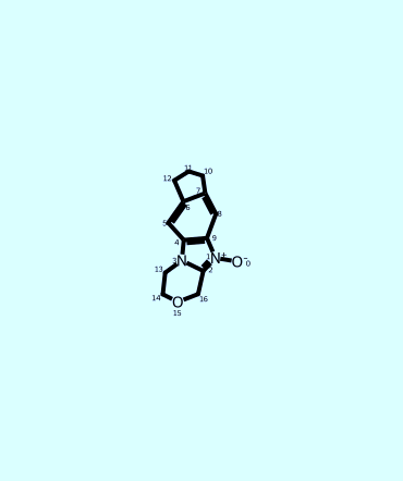 [O-][n+]1c2n(c3cc4c(cc31)CCC4)CCOC2